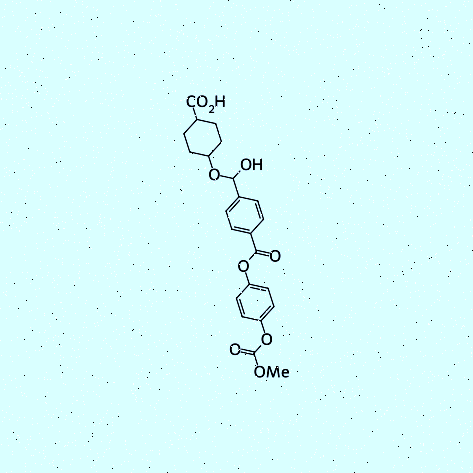 COC(=O)Oc1ccc(OC(=O)c2ccc(C(O)OC3CCC(C(=O)O)CC3)cc2)cc1